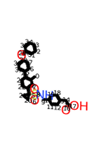 Cc1cc(C2(S(=O)(=O)NCc3ccc(CC(=O)O)cc3)CC2)ccc1-c1ccc(Oc2ccccc2)cc1